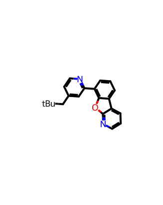 CC(C)(C)Cc1ccnc(-c2cccc3c2oc2ncccc23)c1